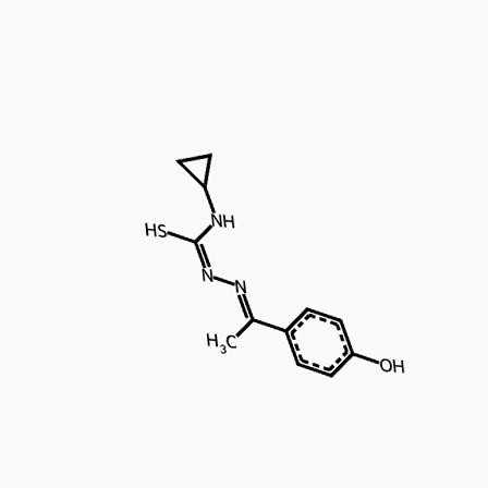 C/C(=N\N=C(\S)NC1CC1)c1ccc(O)cc1